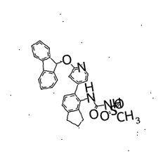 CS(=O)(=O)NC(=O)Nc1c(-c2ccnc(OC3c4ccccc4-c4ccccc43)c2)ccc2c1CCC2